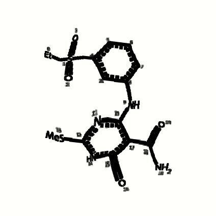 CCS(=O)(=O)c1cccc(Nc2nc(SC)[nH]c(=O)c2C(N)=O)c1